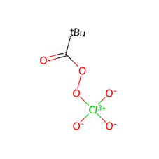 CC(C)(C)C(=O)OO[Cl+3]([O-])([O-])[O-]